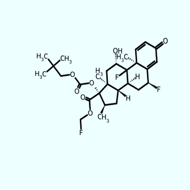 C[C@@H]1C[C@H]2[C@@H]3C[C@H](F)C4=CC(=O)C=C[C@]4(C)C3(F)[C@@H](O)C[C@]2(C)[C@]1(OC(=O)OCC(C)(C)C)C(=O)OCF